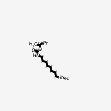 CCCCCCCCCCCCCCCCCCNC(=O)OC(C)C(C)C